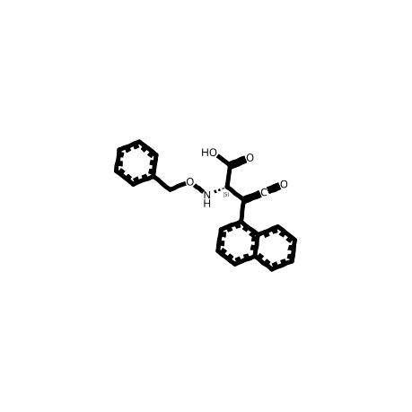 O=C=C(c1cccc2ccccc12)[C@H](NOCc1ccccc1)C(=O)O